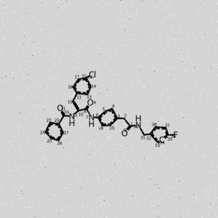 O=C(Cc1ccc(NC(=O)/C(=C\c2ccc(Cl)cc2)NC(=O)c2ccccc2)cc1)NCc1ccc(F)cc1